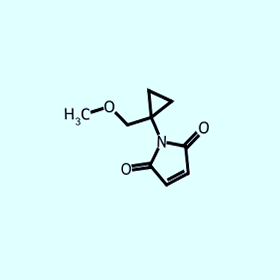 COCC1(N2C(=O)C=CC2=O)CC1